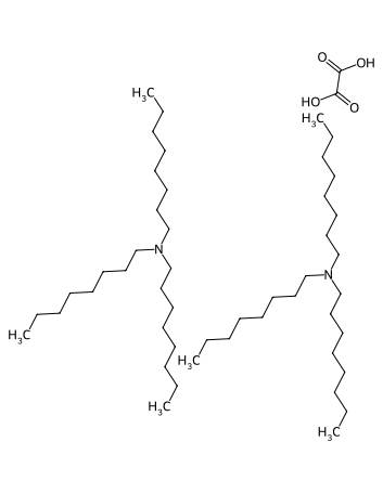 CCCCCCCCN(CCCCCCCC)CCCCCCCC.CCCCCCCCN(CCCCCCCC)CCCCCCCC.O=C(O)C(=O)O